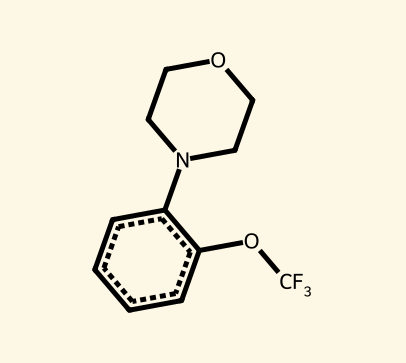 FC(F)(F)Oc1ccccc1N1CCOCC1